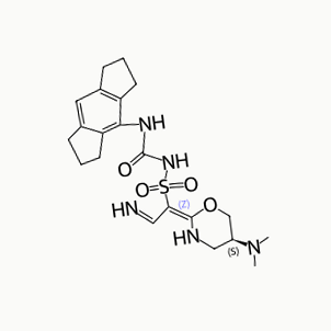 CN(C)[C@H]1CN/C(=C(\C=N)S(=O)(=O)NC(=O)Nc2c3c(cc4c2CCC4)CCC3)OC1